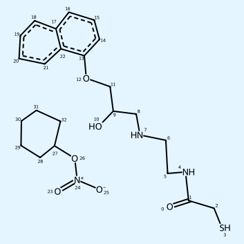 O=C(CS)NCCNCC(O)COc1cccc2ccccc12.O=[N+]([O-])OC1CCCCC1